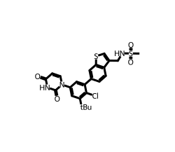 CC(C)(C)c1cc(-n2ccc(=O)[nH]c2=O)cc(-c2ccc3c(CNS(C)(=O)=O)csc3c2)c1Cl